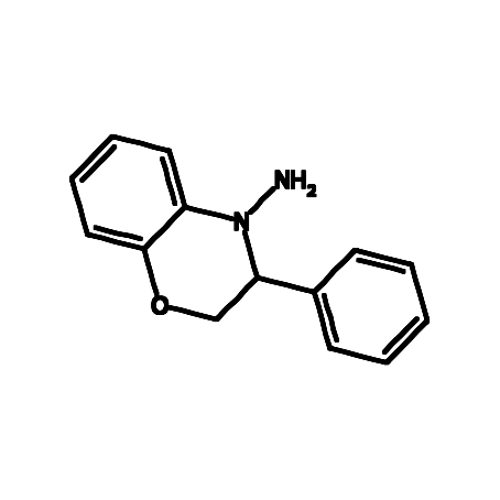 NN1c2ccccc2OCC1c1ccccc1